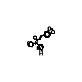 O=C(/C=C/c1ccc2c(c1)OCO2)N(c1cc[nH]n1)C1CCSC1